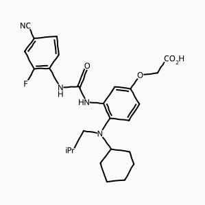 CC(C)CN(c1ccc(OCC(=O)O)cc1NC(=O)Nc1ccc(C#N)cc1F)C1CCCCC1